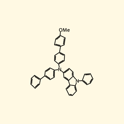 COc1ccc(-c2ccc(N(c3ccc(-c4ccccc4)cc3)c3ccc4c(c3)c3ccccc3n4-c3ccccc3)cc2)cc1